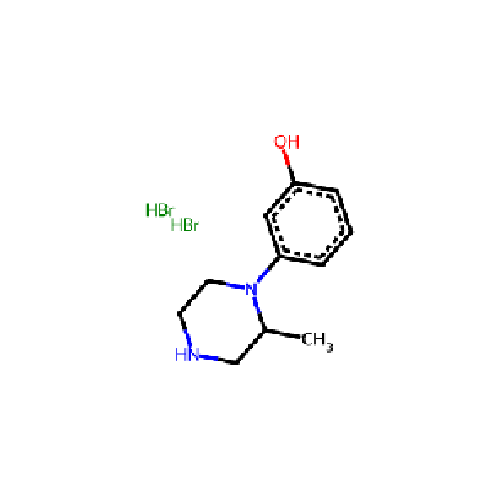 Br.Br.CC1CNCCN1c1cccc(O)c1